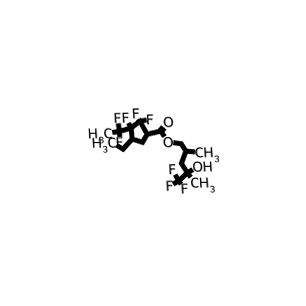 CCC1CC(C(=O)OCC(C)CC(C)(O)C(F)(F)F)C(F)(F)C1(F)C(C)(F)F